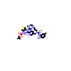 Cc1cccc(NC(=O)N(CCCN2CCN(C)CC2)Cc2ccc(C(=O)Nc3cscc3NC(=O)OC(C)(C)C)nc2)c1